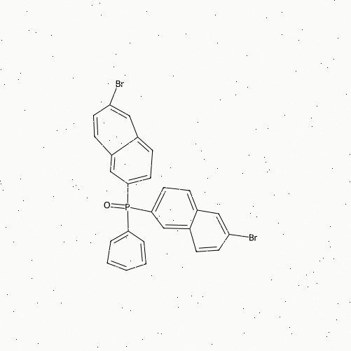 O=P(c1ccccc1)(c1ccc2cc(Br)ccc2c1)c1ccc2cc(Br)ccc2c1